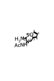 CC(=O)NN(Cc1ccco1)C(N)=S